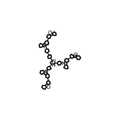 c1ccc2c(c1)oc1ccc(-c3ccc4c(c3)c3ccccc3n4-c3ccc(-c4ccc(-c5cc(-c6ccc(-n7c8ccccc8c8cc(-c9ccc%10oc%11ccccc%11c%10c9)ccc87)cc6)nc(-c6ccc(-n7c8ccccc8c8cc(-c9ccc%10oc%11ccccc%11c%10c9)ccc87)cc6)n5)cc4)cc3)cc12